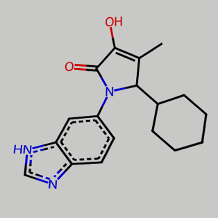 CC1=C(O)C(=O)N(c2ccc3nc[nH]c3c2)C1C1CCCCC1